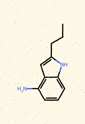 CCCc1cc2c(N)cccc2[nH]1